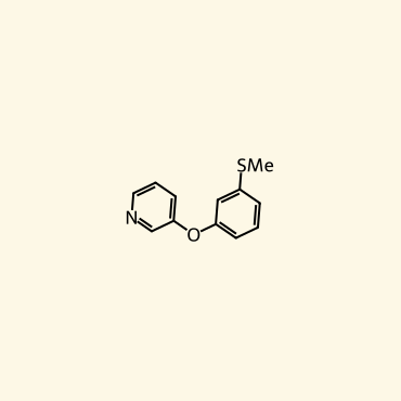 CSc1cccc(Oc2cccnc2)c1